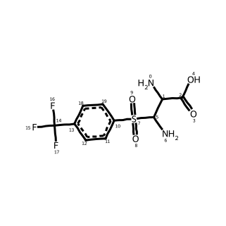 NC(C(=O)O)C(N)S(=O)(=O)c1ccc(C(F)(F)F)cc1